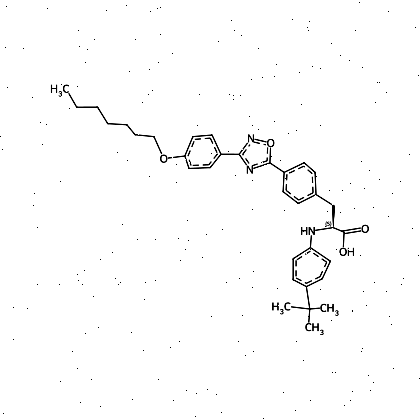 CCCCCCCOc1ccc(-c2noc(-c3ccc(C[C@H](Nc4ccc(C(C)(C)C)cc4)C(=O)O)cc3)n2)cc1